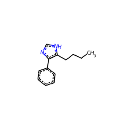 CCCCc1[nH]cnc1-c1ccccc1